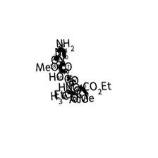 CCOC(=O)C(COC(C)=O)(COP(=O)(N[C@@H](C)C(=O)OC)OC[C@H]1O[C@@H](n2ccc(N)nc2=O)[C@H](OC)[C@@H]1O)C(=O)OCC